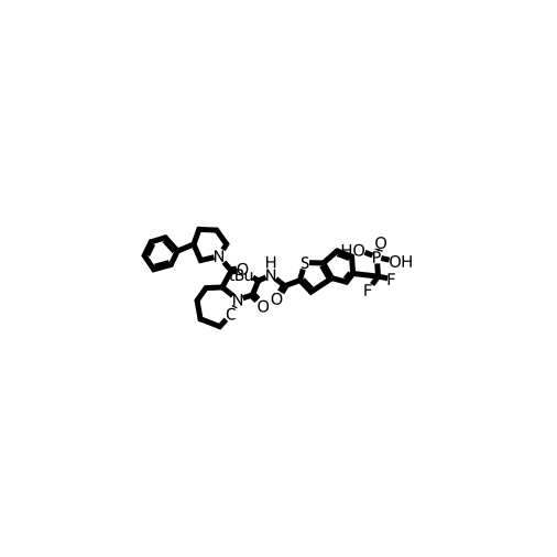 CC(C)(C)C(NC(=O)c1cc2cc(C(F)(F)P(=O)(O)O)ccc2s1)C(=O)N1CCCCCC1C(=O)N1CCCC(c2ccccc2)C1